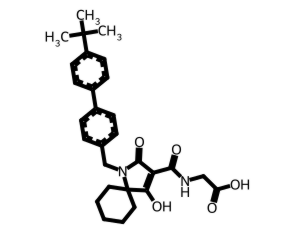 CC(C)(C)c1ccc(-c2ccc(CN3C(=O)C(C(=O)NCC(=O)O)=C(O)C34CCCCC4)cc2)cc1